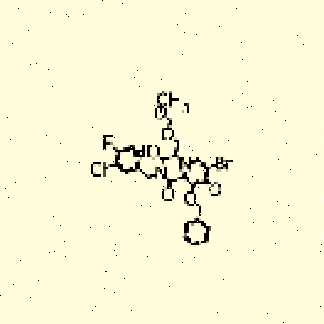 COCOCC1C(O)N(Cc2ccc(F)c(Cl)c2)C(=O)c2c(OCc3ccccc3)c(=O)c(Br)cn21